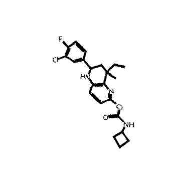 CCC1(C)CC(c2ccc(F)c(Cl)c2)Nc2ccc(OC(=O)NC3CCC3)nc21